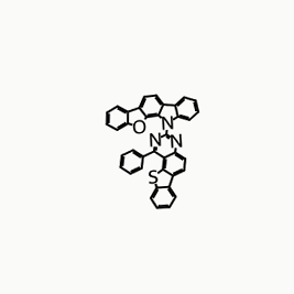 c1ccc(-c2nc(-n3c4ccccc4c4ccc5c6ccccc6oc5c43)nc3ccc4c5ccccc5sc4c23)cc1